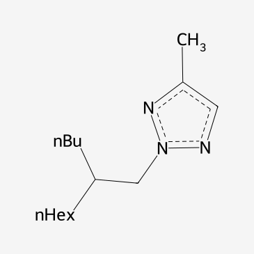 CCCCCCC(CCCC)Cn1ncc(C)n1